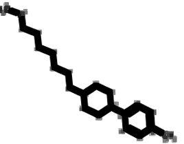 COCCCCCCCC1CCC(c2ccc(C)cc2)CC1